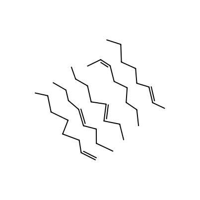 C/C=C/CCCCC.C/C=C\CCCCC.C=CCCCCCC.CC/C=C/CCCC.CCC/C=C/CCC